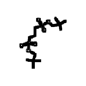 CC(C)(C)COS(=O)(=O)CCCS(=O)(=O)OCC(C)(C)C